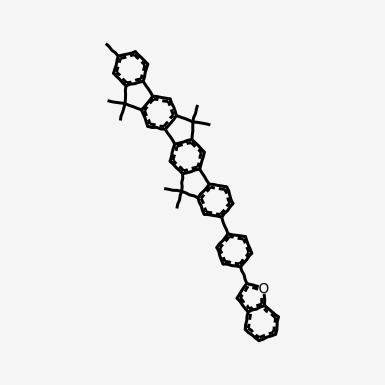 Cc1ccc2c(c1)C(C)(C)c1cc3c(cc1-2)C(C)(C)c1cc2c(cc1-3)C(C)(C)c1cc(-c3ccc(-c4cc5ccccc5o4)cc3)ccc1-2